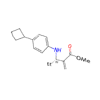 C=C(C(=O)OC)[C@H](CC)Nc1ccc(C2CCC2)cc1